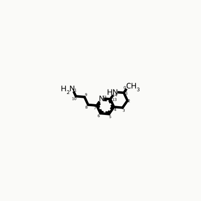 CC1CCc2ccc(CCCN)nc2N1